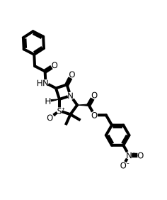 CC1(C)[C@H](C(=O)OCc2ccc([N+](=O)[O-])cc2)N2C(=O)C(NC(=O)Cc3ccccc3)[C@H]2[S+]1[O-]